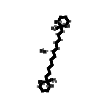 I.I.NC1(CCCCCCCCCCCCC2(N)NCCCN2)NCCCN1